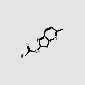 CC(C)C(=O)NC1CN2N=C(I)C=CC2=N1